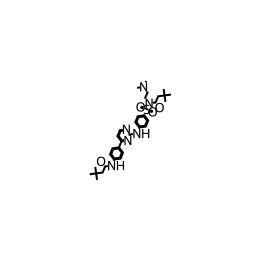 CN(C)CCN(C(=O)CC(C)(C)C)S(=O)(=O)c1ccc(Nc2nccc(-c3ccc(NC(=O)CC(C)(C)C)cc3)n2)cc1